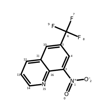 O=[N+]([O-])c1cc(C(F)(F)F)cc2cccnc12